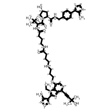 CCn1c(-c2nonc2N)nc2c(C#CC(C)(C)O)ncc(OCCCNCCCC(=O)NCCCC(=O)NC(C(=O)N3C[C@H](O)C[C@H]3C(=O)NCc3ccc(-c4scnc4C)cc3)C(C)(C)C)c21